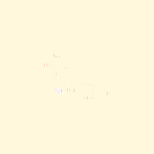 N.O=P(O)(O)OP(=O)(O)O.O=P([O-])(O)O.[Na+]